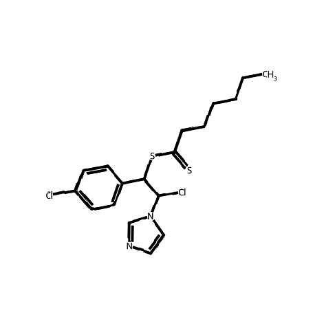 CCCCCCC(=S)SC(c1ccc(Cl)cc1)C(Cl)n1ccnc1